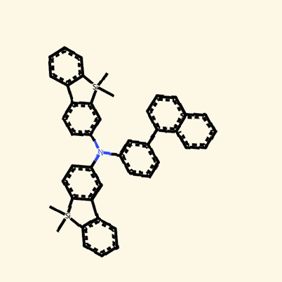 C[Si]1(C)c2ccccc2-c2cc(N(c3cccc(-c4cccc5ccccc45)c3)c3ccc4c(c3)[Si](C)(C)c3ccccc3-4)ccc21